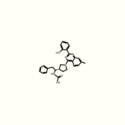 Cc1ccc2c(N3CC[C@@H](C(Cc4ccccc4)NC(=O)O)C3)nc(-c3ccccc3O)nc2c1